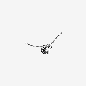 CCCCCCCCCCCC=CC=CC(=O)OC[C@H](COP(=O)(O)O)OC(=O)CCCCCCCCCCCCCCC